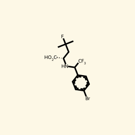 CC(C)(F)C[C@H](NC(c1ccc(Br)cc1)C(F)(F)F)C(=O)O